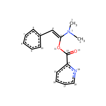 CN(C)C(=Cc1ccccc1)OC(=O)c1ccccn1